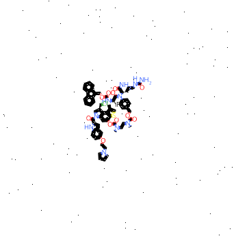 Cc1csc2c(OC(=O)N(C)CCN(C)C(=O)OCc3ccc(N(C(=O)[C@@H](NC(=O)OCC4c5ccccc5-c5ccccc54)C(C)C)[C@@H](CCCNC(N)=O)C(N)=O)cc3)cc3c(c12)[C@H](CCl)CN3C(=O)c1cc2cc(OCCN3CCCC3)ccc2[nH]1